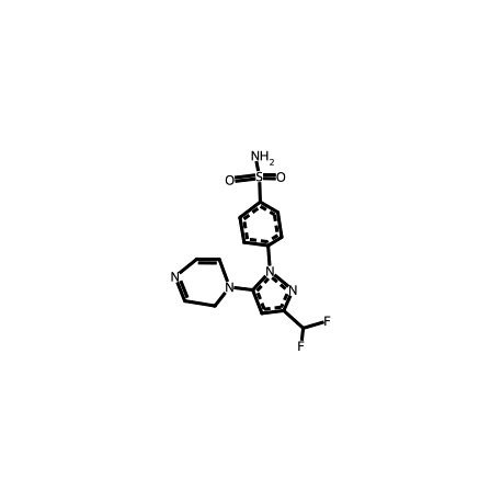 NS(=O)(=O)c1ccc(-n2nc(C(F)F)cc2N2C=CN=CC2)cc1